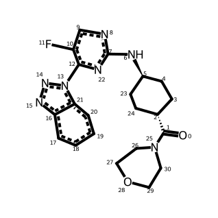 O=C([C@H]1CC[C@H](Nc2ncc(F)c(-n3nnc4ccccc43)n2)CC1)N1CCOCC1